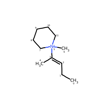 CC/C=C(\C)[N+]1(C)CCCCC1